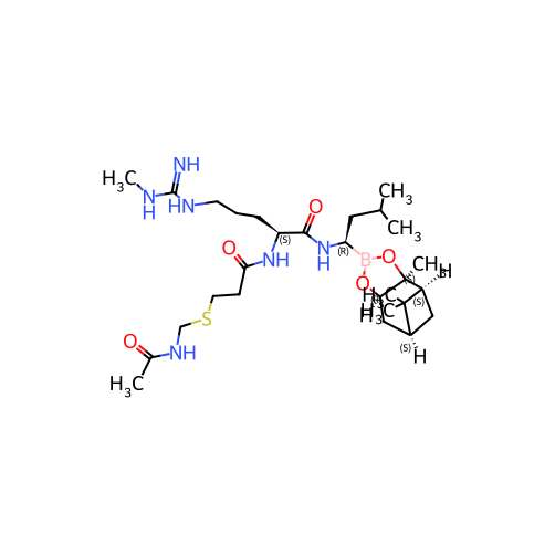 CNC(=N)NCCC[C@H](NC(=O)CCSCNC(C)=O)C(=O)N[C@@H](CC(C)C)B1O[C@@H]2C[C@@H]3C[C@@H](C3(C)C)[C@]2(C)O1